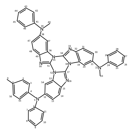 Cc1ccc(N(c2ccccc2)c2ccc3nc4n5c6cc(N(C)c7ccccc7)ccc6nc5n5c6cc(N(C)c7ccccc7)ccc6nc5n4c3c2)cc1